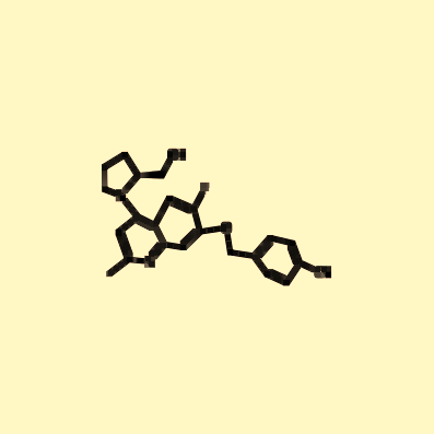 Cc1cc(N2CCC[C@H]2CO)c2cc(F)c(OCc3ccc(C#N)cc3)cc2n1